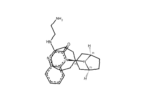 NCCNc1nc2ccccc2n([C@H]2C[C@H]3CC[C@@H](C2)N3C2CCCCCCC2)c1=O